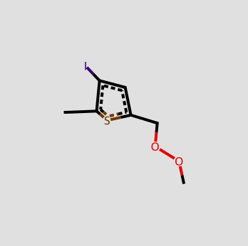 COOCc1cc(I)c(C)s1